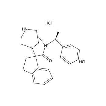 C[C@@H](c1ccccc1)N(C)C(=O)C1(N2CCNCC2)CCc2ccccc21.Cl.Cl